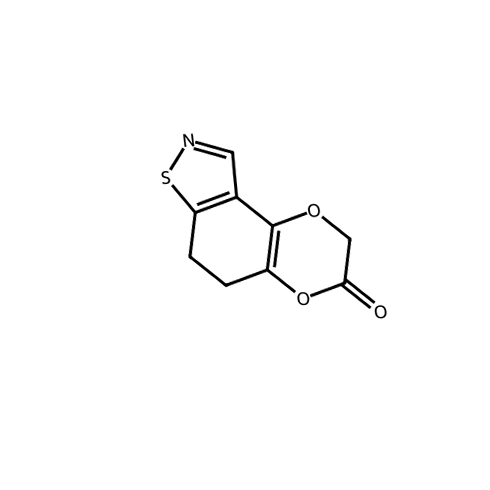 O=C1COC2=C(CCc3sncc32)O1